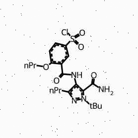 CCCOc1ccc(S(=O)(=O)Cl)cc1C(=O)Nc1c(CCC)nn(C(C)(C)C)c1C(N)=O